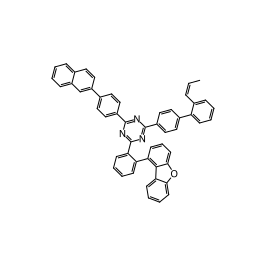 C/C=C\c1ccccc1-c1ccc(-c2nc(-c3ccc(-c4ccc5ccccc5c4)cc3)nc(-c3ccccc3-c3cccc4oc5ccccc5c34)n2)cc1